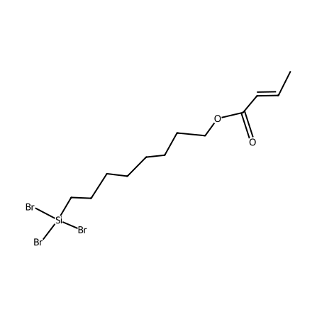 CC=CC(=O)OCCCCCCCC[Si](Br)(Br)Br